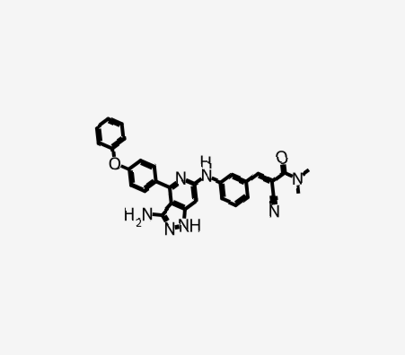 CN(C)C(=O)/C(C#N)=C/c1cccc(Nc2cc3[nH]nc(N)c3c(-c3ccc(Oc4ccccc4)cc3)n2)c1